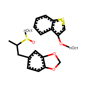 CCCCCCCCOc1csc2ccccc12.CCCCCCCC[S+]([O-])C(C)Cc1ccc2c(c1)OCO2